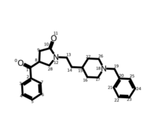 O=C(c1ccccc1)C1CC(=O)N(CCC2CCN(Cc3ccccc3)CC2)C1